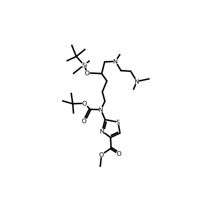 COC(=O)c1csc(N(CCCC(CN(C)CCN(C)C)O[Si](C)(C)C(C)(C)C)C(=O)OC(C)(C)C)n1